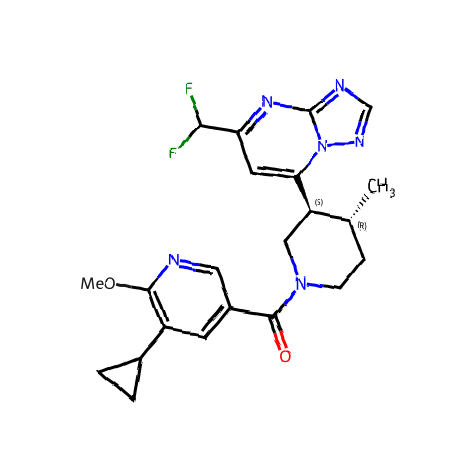 COc1ncc(C(=O)N2CC[C@@H](C)[C@H](c3cc(C(F)F)nc4ncnn34)C2)cc1C1CC1